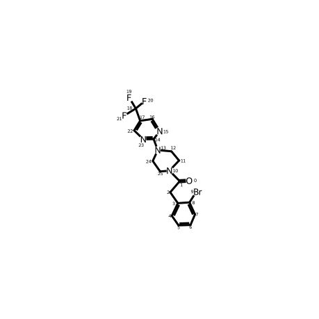 O=C(Cc1ccccc1Br)N1CCN(c2ncc(C(F)(F)F)cn2)CC1